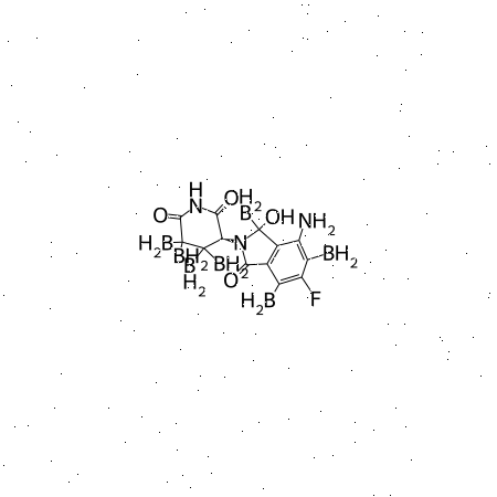 Bc1c(N)c2c(c(B)c1F)C(=O)N([C@@H]1C(=O)NC(=O)C(B)(B)C1(B)B)C2(B)O